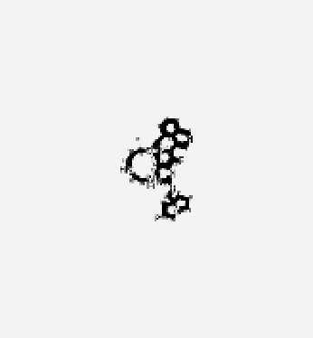 C#Cc1cccc2cncc(-c3nc4c5c(nc(OCC67CCCN6C[C@H](F)C7)nc5c3F)NCCNCC[C@H](C)O4)c12